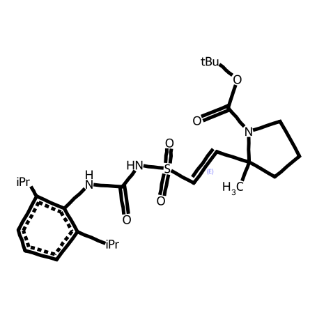 CC(C)c1cccc(C(C)C)c1NC(=O)NS(=O)(=O)/C=C/C1(C)CCCN1C(=O)OC(C)(C)C